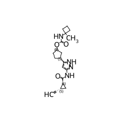 C#C[C@H]1C[C@@H]1C(=O)Nc1cc([C@H]2CC[C@@H](OC(=O)NC3(C)CCC3)C2)[nH]n1